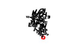 CC[C@H]1CC2=CC(=O)CC[C@@H]2[C@H]2CC[C@@]3(C)[C@@H]([C@@H]4C[C@@H]4[C@@H]3C#N)[C@H]12